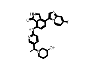 C[C@@H](c1ccc(Nc2ccc(-c3cnc4cc(F)ccn34)c3c2C(=O)NC3)nc1)N1CCC[C@H](O)C1